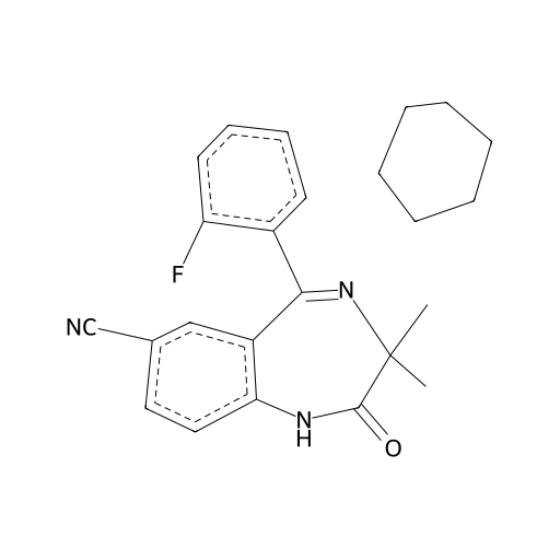 C1CCCCC1.CC1(C)N=C(c2ccccc2F)c2cc(C#N)ccc2NC1=O